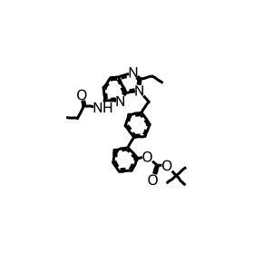 CCC(=O)Nc1ccc2nc(CC)n(Cc3ccc(-c4ccccc4OC(=O)OC(C)(C)C)cc3)c2n1